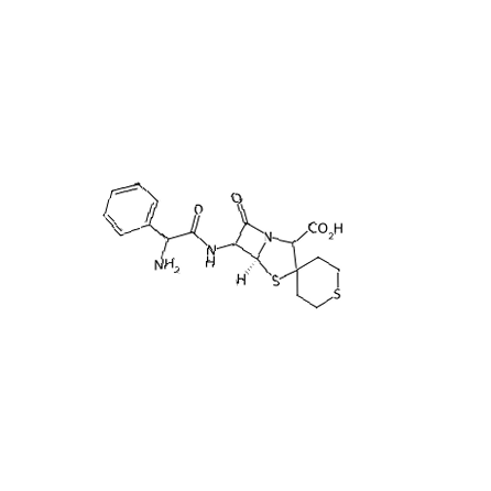 NC(C(=O)NC1C(=O)N2C(C(=O)O)C3(CCSCC3)S[C@@H]12)c1ccccc1